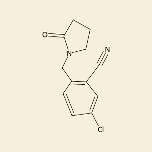 N#Cc1cc(Cl)ccc1CN1CCCC1=O